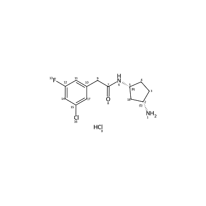 Cl.N[C@H]1CC[C@@H](NC(=O)Cc2cc(F)cc(Cl)c2)C1